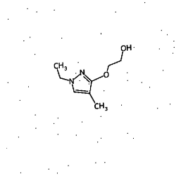 CCn1cc(C)c(OCCO)n1